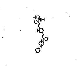 O=C(C=Cc1ccc(C=CC(=O)N2CCN(c3ccccc3)CC2)cn1)NO